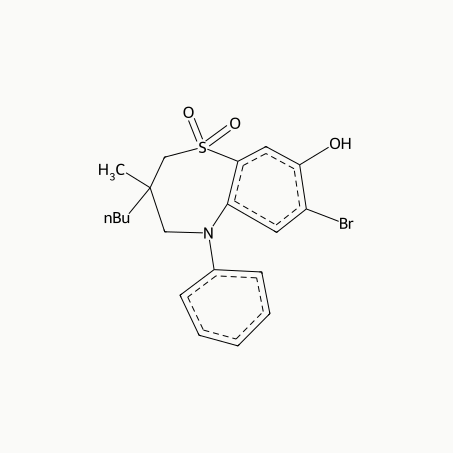 CCCCC1(C)CN(c2ccccc2)c2cc(Br)c(O)cc2S(=O)(=O)C1